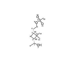 CC(O)[C@@H]1C[C@H](CCOS(C)(=O)=O)C1(C)C